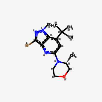 CCn1nc(Br)c2nc(N3CCOC[C@H]3C)cc(C(C)(C)C#N)c21